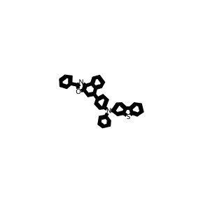 c1ccc(-c2nc3c(cc(-c4ccc(N(c5ccccc5)c5ccc6c(c5)sc5ccccc56)cc4)c4ccccc43)o2)cc1